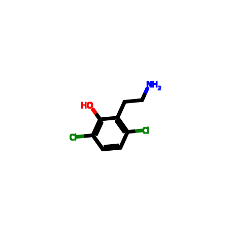 NCCc1c(Cl)ccc(Cl)c1O